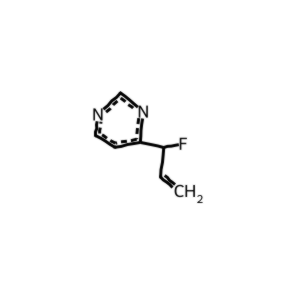 C=CC(F)c1ccncn1